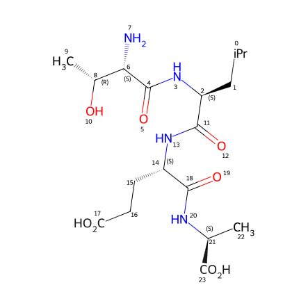 CC(C)C[C@H](NC(=O)[C@@H](N)[C@@H](C)O)C(=O)N[C@@H](CCC(=O)O)C(=O)N[C@@H](C)C(=O)O